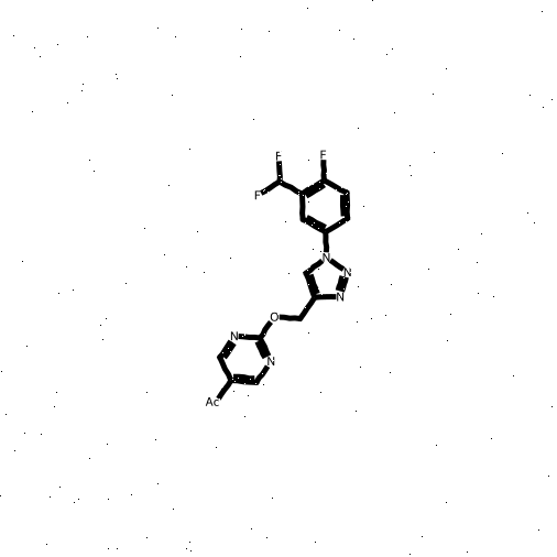 CC(=O)c1cnc(OCc2cn(-c3ccc(F)c(C(F)F)c3)nn2)nc1